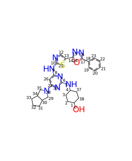 OC1CCC(Nc2nc(Nc3ncc(-c4nnc(-c5ccccc5)o4)s3)cc(N3CC4CCCC4C3)n2)CC1